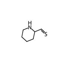 S=CC1CCCCN1